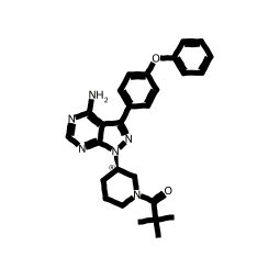 CC(C)(C)C(=O)N1CCC[C@@H](n2nc(-c3ccc(Oc4ccccc4)cc3)c3c(N)ncnc32)C1